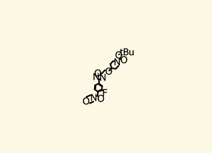 CC(C)(C)OC(=O)N1CCC(OCc2nc(-c3ccc(C(=O)N4CCOCC4)c(F)c3)no2)CC1